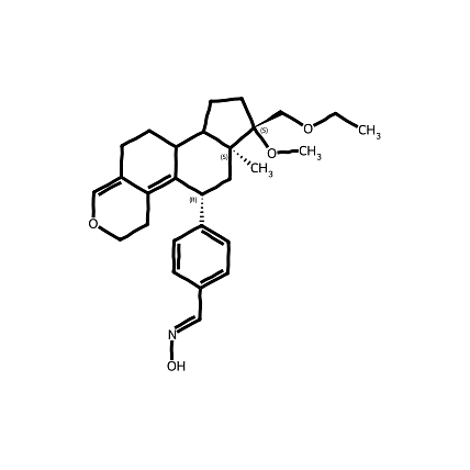 CCOC[C@]1(OC)CCC2C3CCC4=COCCC4=C3[C@@H](c3ccc(C=NO)cc3)C[C@@]21C